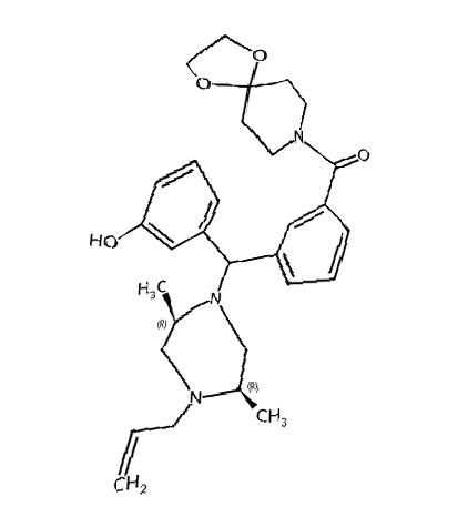 C=CCN1C[C@@H](C)N(C(c2cccc(O)c2)c2cccc(C(=O)N3CCC4(CC3)OCCO4)c2)C[C@H]1C